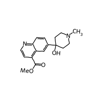 COC(=O)c1ccnc2ccc(C3(O)CCN(C)CC3)cc12